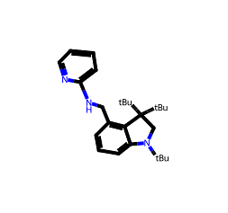 CC(C)(C)N1CC(C(C)(C)C)(C(C)(C)C)c2c(CNc3ccccn3)cccc21